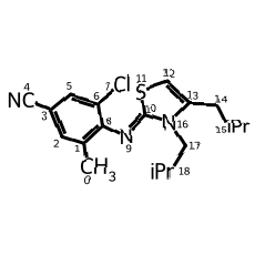 Cc1cc(C#N)cc(Cl)c1/N=c1\scc(CC(C)C)n1CC(C)C